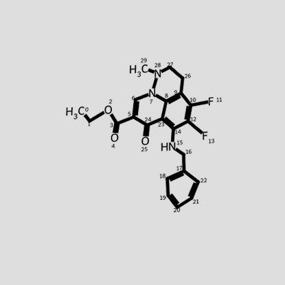 CCOC(=O)c1cn2c3c(c(F)c(F)c(NCc4ccccc4)c3c1=O)CCN2C